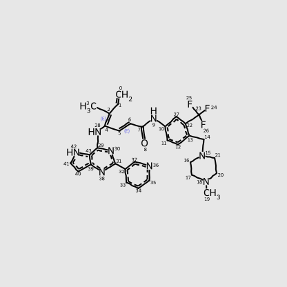 C=C/C(C)=C(\C=C\C(=O)Nc1ccc(CN2CCN(C)CC2)c(C(F)(F)F)c1)Nc1nc(-c2cccnc2)nc2cc[nH]c12